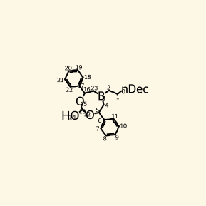 CCCCCCCCCCCCB1CC(c2ccccc2)OC(O)OC(c2ccccc2)C1